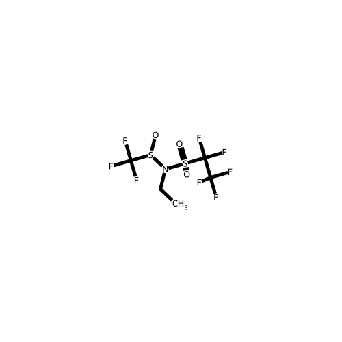 CCN([S+]([O-])C(F)(F)F)S(=O)(=O)C(F)(F)C(F)(F)F